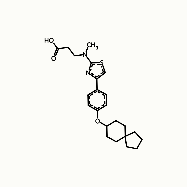 CN(CCC(=O)O)c1nc(-c2ccc(OC3CCC4(CCCC4)CC3)cc2)cs1